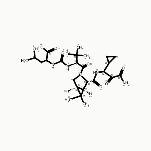 CC(C)CC(NC(=O)N[C@H](C(=O)N1C[C@H]2[C@@H]([C@H]1C(=O)NC(C(=O)C(N)=O)C1CC1)C2(C)C)C(C)(C)C)C(=O)O